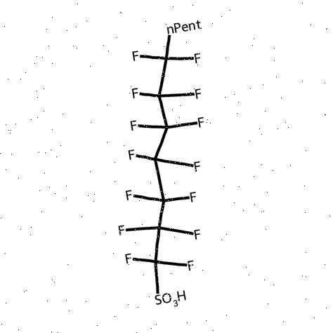 CCCCCC(F)(F)C(F)(F)C(F)(F)C(F)(F)C(F)(F)C(F)(F)C(F)(F)S(=O)(=O)O